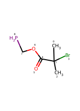 CC(C)(Br)C(=O)OCP